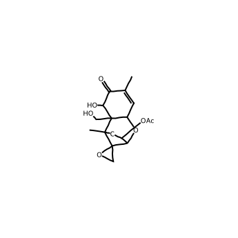 CC(=O)OC1CC2(C)C3(CO3)C1OC1C=C(C)C(=O)C(O)C12CO